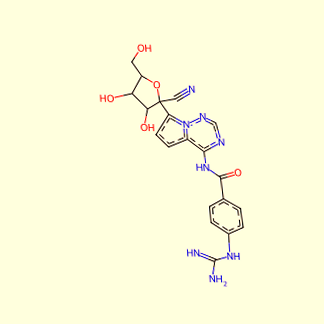 N#CC1(c2ccc3c(NC(=O)c4ccc(NC(=N)N)cc4)ncnn23)OC(CO)C(O)C1O